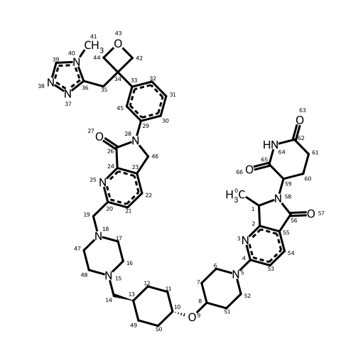 CC1c2nc(N3CCC(O[C@H]4CC[C@H](CN5CCN(Cc6ccc7c(n6)C(=O)N(c6cccc(C8(Cc9nncn9C)COC8)c6)C7)CC5)CC4)CC3)ccc2C(=O)N1C1CCC(=O)NC1=O